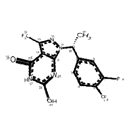 C[C@H](c1ccc(C(F)(F)F)c(F)c1)n1nc(C(F)(F)F)c2c(=O)[nH]c(O)nc21